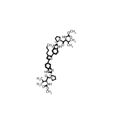 CCCCc1cc(-c2ccc3[nH]c([C@@H]4CCCN4C(=O)[C@@H](NC(=O)OC)C(C)C)nc3c2)sc1-c1ccc2[nH]c([C@@H]3CCCN3C(=O)[C@@H](NC(=O)OC)C(C)C)nc2c1